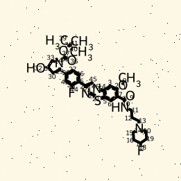 COc1cc2c(cc1C(=O)NCCCN1CCC(F)CC1)sc1nc(-c3ccc([C@H]4C[C@H](O)CN4C(=O)OC(C)(C)C)cc3F)cn12